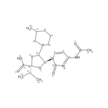 CC(=O)Nc1ccn([C@H]2O[C@](C(=O)O)(C(C)C)SC2C2CCCC(C)C2)c(=O)n1